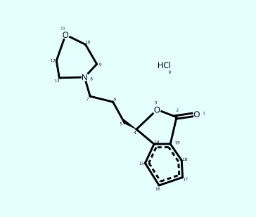 Cl.O=C1O[C@H](CCCN2CCOCC2)c2ccccc21